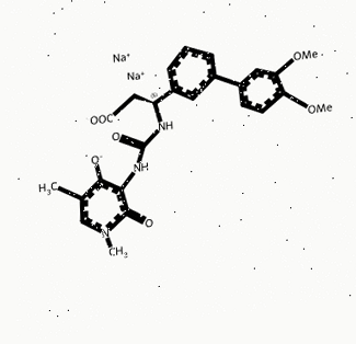 COc1ccc(-c2cccc([C@H](CC(=O)[O-])NC(=O)Nc3c([O-])c(C)cn(C)c3=O)c2)cc1OC.[Na+].[Na+]